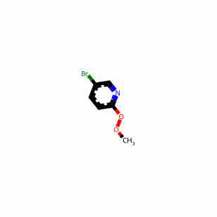 COOc1ccc(Br)cn1